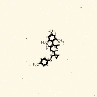 Cc1cc(C)c(C2=C(O)CC(C3(CSc4ccc(C(F)(F)F)cc4)CC3)OC2=O)c(C)c1